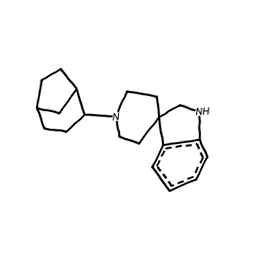 c1ccc2c(c1)NCC21CCN(C2CCC3CCC2C3)CC1